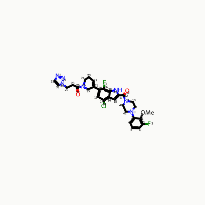 COc1c(F)cccc1N1CCN(C(=O)c2cc3c(Cl)cc(C4=CCCN(C(=O)CCn5ccnn5)C4)c(F)c3[nH]2)CC1